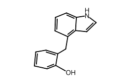 Oc1ccccc1Cc1cccc2[nH]ccc12